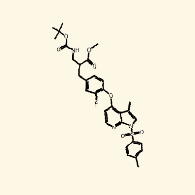 COC(=O)C(CNC(=O)OC(C)(C)C)Cc1ccc(Oc2ccnc3c2c(C)cn3S(=O)(=O)c2ccc(C)cc2)c(F)c1